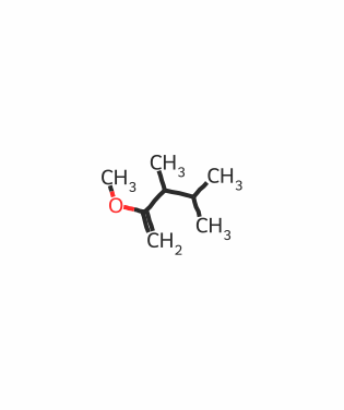 C=C(OC)C(C)C(C)C